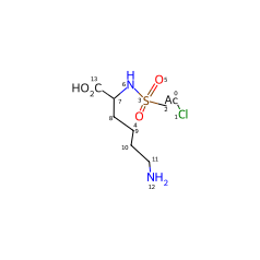 CC(=O)Cl.CS(=O)(=O)NC(CCCCN)C(=O)O